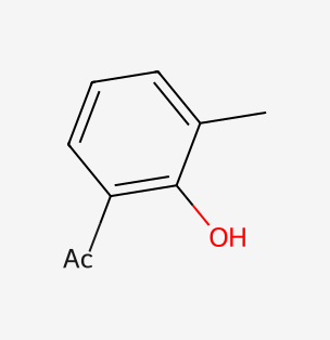 CC(=O)c1cccc(C)c1O